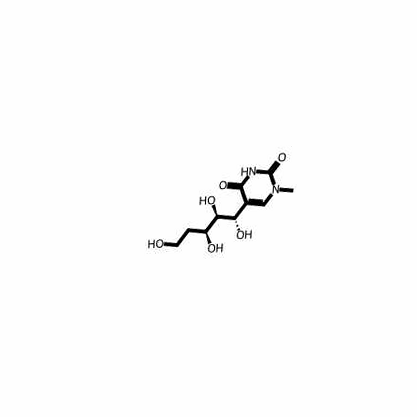 Cn1cc([C@H](O)[C@H](O)[C@@H](O)CCO)c(=O)[nH]c1=O